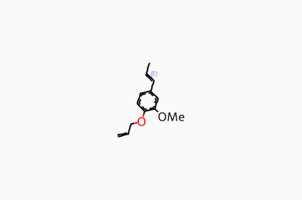 C=CCOc1ccc(/C=C/C)cc1OC